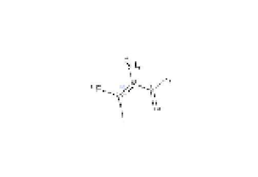 C=C(C)/C(N)=C(/F)I